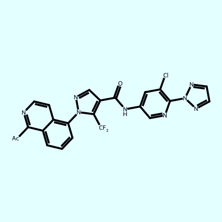 CC(=O)c1nccc2c(-n3ncc(C(=O)Nc4cnc(-n5nccn5)c(Cl)c4)c3C(F)(F)F)cccc12